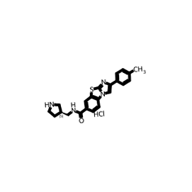 Cc1ccc(-c2cn3c(n2)sc2cc(C(=O)NC[C@H]4CCNC4)ccc23)cc1.Cl